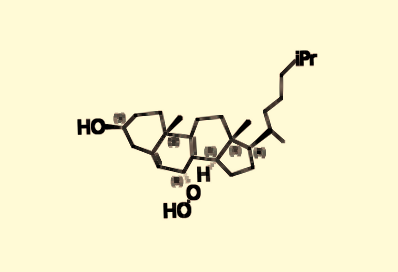 CC(C)CCCC(C)[C@H]1CC[C@H]2C3=C(CC[C@]12C)[C@@]1(C)CC[C@H](O)CC1=C[C@H]3OO